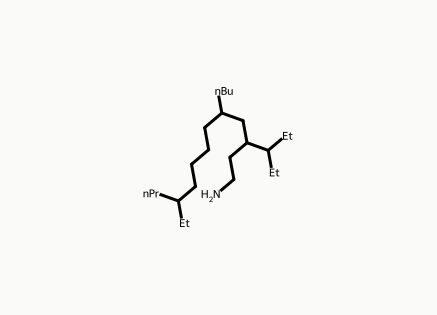 CCCCC(CCCCC(CC)CCC)CC(CCN)C(CC)CC